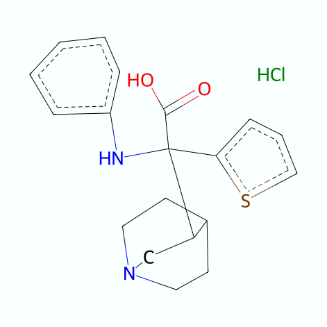 Cl.O=C(O)C(Nc1ccccc1)(c1cccs1)C1CN2CCC1CC2